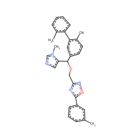 Cc1ccccc1-c1cc(C(OCc2noc(-c3cccc(C(F)(F)F)c3)n2)c2cncn2C)ccc1C#N